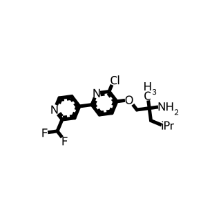 CC(C)CC(C)(N)COc1ccc(-c2ccnc(C(F)F)c2)nc1Cl